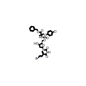 CC(C)(NP(=O)(OC[C@H]1O[C@@H](n2cc(/C=C/Br)c(=O)[nH]c2=O)C[C@H]1O)Oc1ccc(Cl)cc1)C(=O)OCc1ccccc1